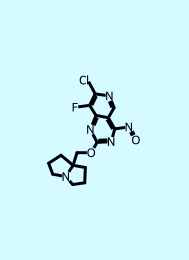 O=Nc1nc(OCC23CCCN2CCC3)nc2c(F)c(Cl)ncc12